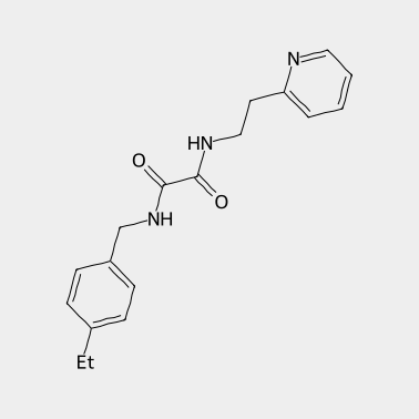 CCc1ccc(CNC(=O)C(=O)NCCc2ccccn2)cc1